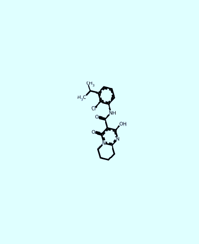 CC(C)c1cccc(NC(=O)c2c(O)nc3n(c2=O)CCCC3)c1Cl